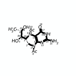 CC(=O)N1C[C@H]([C@@H](O)[C@H](C)O)N(C(C)=O)c2c1nc(N)[nH]c2=O